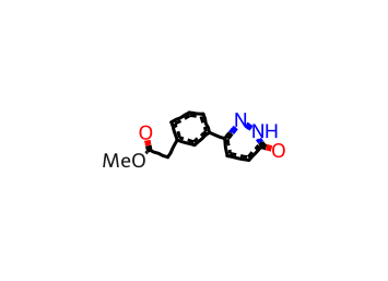 COC(=O)Cc1cccc(-c2ccc(=O)[nH]n2)c1